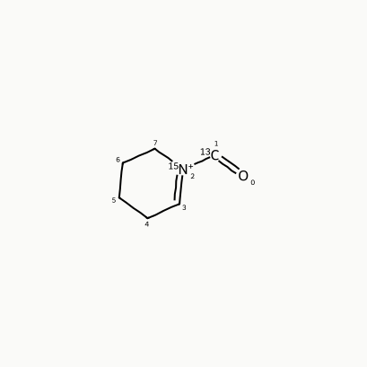 O=[13CH][15N+]1=CCCCC1